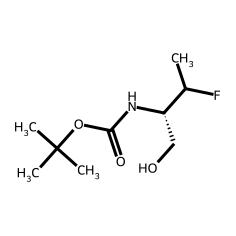 CC(F)[C@H](CO)NC(=O)OC(C)(C)C